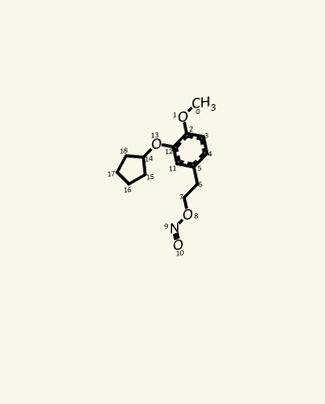 COc1ccc(CCON=O)cc1OC1CCCC1